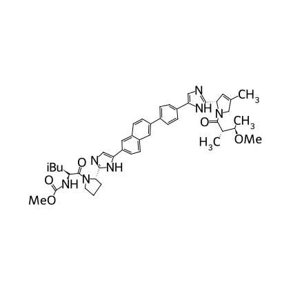 CC[C@H](C)[C@H](NC(=O)OC)C(=O)N1CCC[C@H]1c1ncc(-c2ccc3cc(-c4ccc(-c5cnc([C@@H]6C=C(C)CN6C(=O)[C@@H](C)[C@@H](C)OC)[nH]5)cc4)ccc3c2)[nH]1